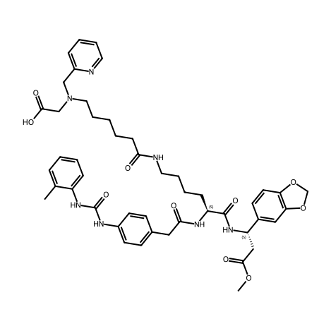 COC(=O)C[C@H](NC(=O)[C@H](CCCCNC(=O)CCCCCN(CC(=O)O)Cc1ccccn1)NC(=O)Cc1ccc(NC(=O)Nc2ccccc2C)cc1)c1ccc2c(c1)OCO2